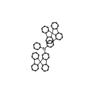 c1ccc(N(c2ccc(-c3cccc4c3C3(c5ccccc5-c5ccccc53)c3ccccc3-4)cc2)c2ccc3c(c2)C2(c4ccccc4-c4ccccc42)c2ccccc2-3)cc1